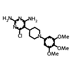 COc1cc(N2CCC(c3c(N)nc(N)nc3Cl)CC2)cc(OC)c1OC